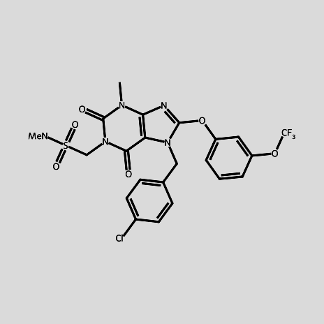 CNS(=O)(=O)Cn1c(=O)c2c(nc(Oc3cccc(OC(F)(F)F)c3)n2Cc2ccc(Cl)cc2)n(C)c1=O